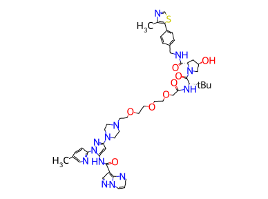 Cc1ccc(-n2nc(N3CCN(CCOCCOCCOCC(=O)N[C@H](C(=O)N4C[C@H](O)C[C@H]4C(=O)NCc4ccc(-c5scnc5C)cc4)C(C)(C)C)CC3)cc2NC(=O)c2cnn3cccnc23)nc1